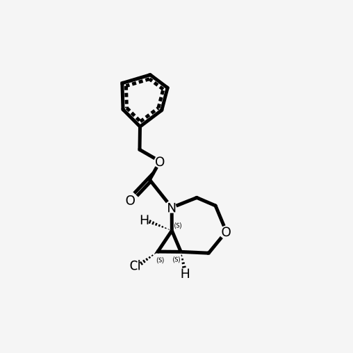 O=C(OCc1ccccc1)N1CCOC[C@H]2[C@H](Cl)[C@H]21